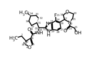 CCc1nocc1C(=O)N[C@H](c1nc2c(F)c(C3COCCN3C(=O)CO)ccc2[nH]1)[C@H]1CC[C@H](C)CC1